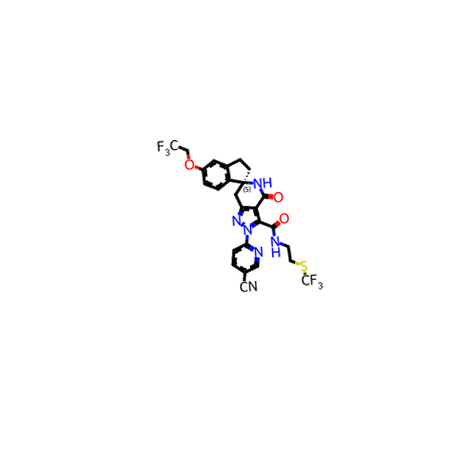 N#Cc1ccc(-n2nc3c(c2C(=O)NCCSC(F)(F)F)C(=O)N[C@@]2(CCc4cc(OCC(F)(F)F)ccc42)C3)nc1